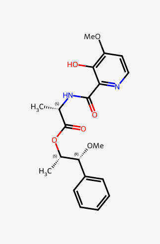 COc1ccnc(C(=O)N[C@@H](C)C(=O)O[C@@H](C)[C@H](OC)c2ccccc2)c1O